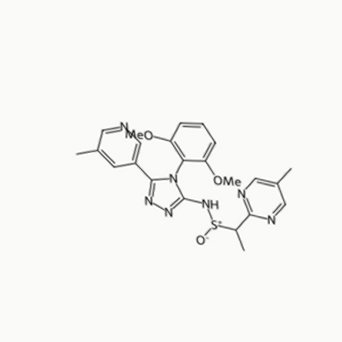 COc1cccc(OC)c1-n1c(N[S+]([O-])C(C)c2ncc(C)cn2)nnc1-c1cncc(C)c1